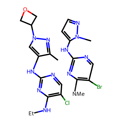 CCNc1nc(Nc2cn(C3COC3)nc2C)ncc1Cl.CNc1nc(Nc2ccnn2C)ncc1Br